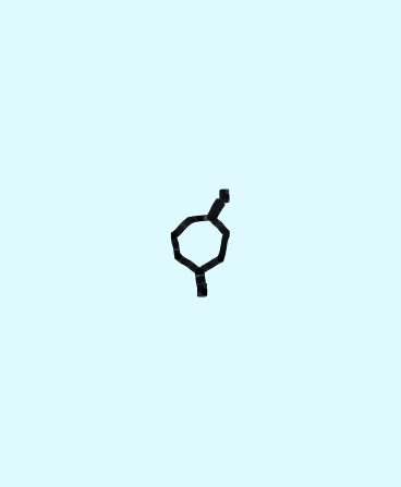 S=C1CCCC(=S)CC1